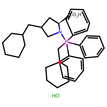 Cl.O=C(O)[C@@H]1CC(CC2CCCCC2)CN1P(CC1CCCCC1)(c1ccccc1)(c1ccccc1)c1ccccc1